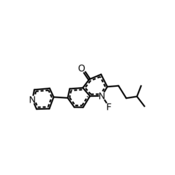 CC(C)CCc1cc(=O)c2cc(-c3ccncc3)ccc2n1F